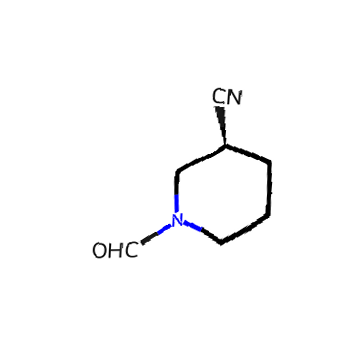 N#C[C@H]1CCCN(C=O)C1